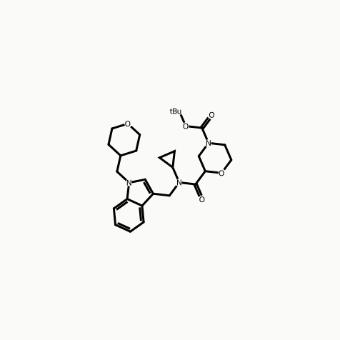 CC(C)(C)OC(=O)N1CCOC(C(=O)N(Cc2cn(CC3CCOCC3)c3ccccc23)C2CC2)C1